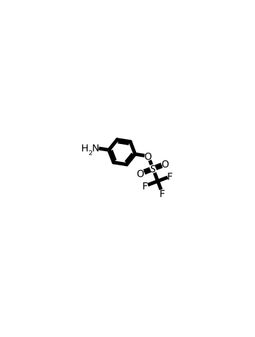 Nc1ccc(OS(=O)(=O)C(F)(F)F)cc1